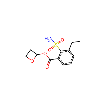 CCc1cccc(C(=O)OC2CCO2)c1S(N)(=O)=O